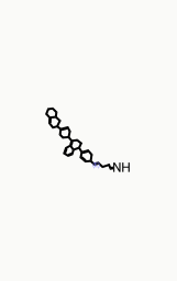 N=CCC/C=C/C1C=CC(C2CCC(C3CC=C(C4CC=C5CCCCC5C4)CC3)=C3C=CC=CC32)=CC1